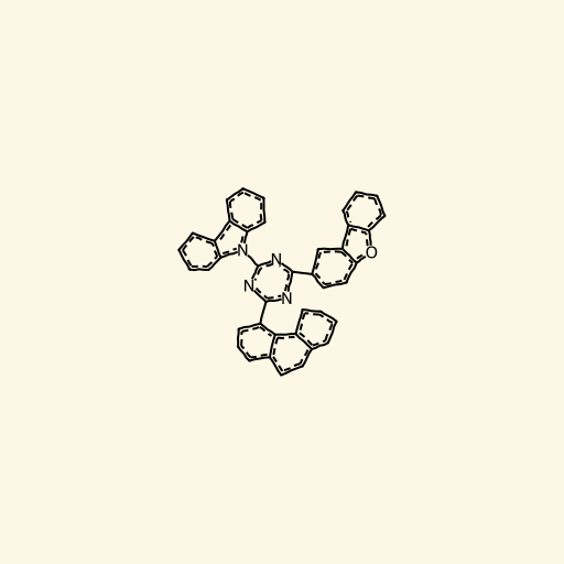 c1ccc2c(c1)ccc1cccc(-c3nc(-c4ccc5oc6ccccc6c5c4)nc(-n4c5ccccc5c5ccccc54)n3)c12